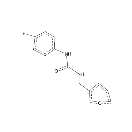 O=C(NCc1ccccc1)Nc1ccc(F)cc1